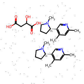 Cc1cc(C)c([C@@H]2CCCN2C)cn1.Cc1cc(C)c([C@@H]2CCCN2C)cn1.O=C(O)CC(O)C(=O)O